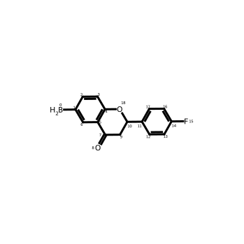 Bc1ccc2c(c1)C(=O)CC(c1ccc(F)cc1)O2